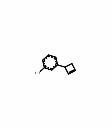 Oc1cccc(C2C=CC2)c1